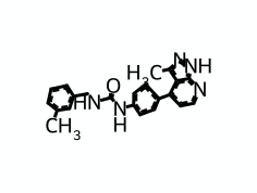 Cc1cccc(CNC(=O)Nc2ccc(-c3ccnc4[nH]nc(C)c34)cc2)c1